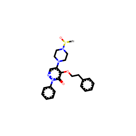 CC(C)[S+]([O-])N1CCN(c2cnn(-c3ccccc3)c(=O)c2OCCc2ccccc2)CC1